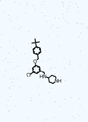 CC(C)(C)c1ccc(COc2cc(Cl)cc(CNC3CCNCC3)c2)cc1